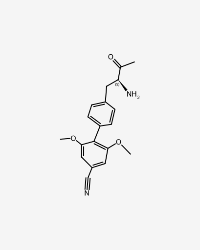 COc1cc(C#N)cc(OC)c1-c1ccc(C[C@H](N)C(C)=O)cc1